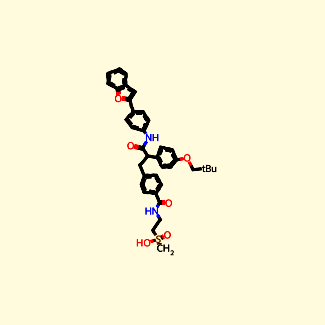 C=S(=O)(O)CCNC(=O)c1ccc(CC(C(=O)Nc2ccc(-c3cc4ccccc4o3)cc2)c2ccc(OCC(C)(C)C)cc2)cc1